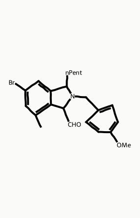 CCCCCC1c2cc(Br)cc(C)c2C(C=O)N1Cc1ccc(OC)cc1